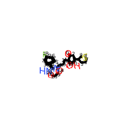 O=C1CC(C2CCCSC2)CC(O)=C1CCCN1OCCONC1c1ccc(F)cc1